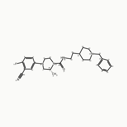 C[C@@H]1CN(c2ccc(F)c(C#N)c2)CCN1C(=O)NCCC1CCN(Cc2ccccc2)CC1